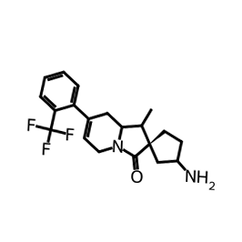 CC1C2CC(c3ccccc3C(F)(F)F)=CCN2C(=O)[C@]12CCC(N)C2